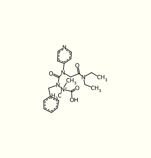 CCN(CC)C(=O)CN(C(=O)N(Cc1ccccc1)[N+](C)(C)C(=O)O)c1ccncc1